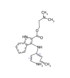 C=C/C=C(\C=C/N)Nc1c(C(=O)OCCN(C)C)[nH]c2ccccc12